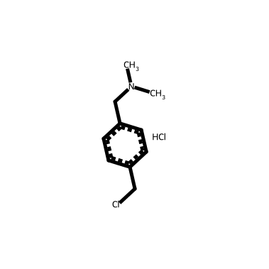 CN(C)Cc1ccc(CCl)cc1.Cl